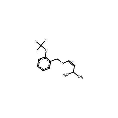 CC(C)/[C]=N\OCc1ccccc1OC(F)(F)F